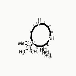 C[O][Ti]([CH3])([CH3])[N]1CCCNCCCNCCC1.Cl.Cl.Cl